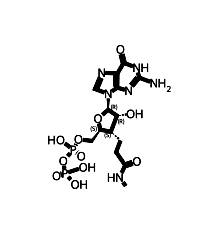 CNC(=O)CC[C@H]1[C@@H](O)[C@H](n2cnc3c(=O)[nH]c(N)nc32)O[C@@H]1COP(=O)(O)OP(=O)(O)O